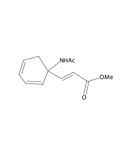 COC(=O)/C=C/C1(NC(C)=O)C=CC=CC1